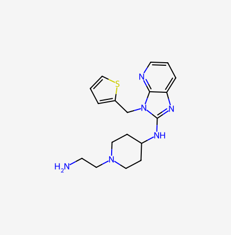 NCCN1CCC(Nc2nc3cccnc3n2Cc2cccs2)CC1